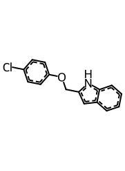 Clc1ccc(OCc2cc3ccccc3[nH]2)cc1